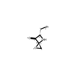 CC(C)C[C@@H]1N[C@@]2(CO2)C1=O